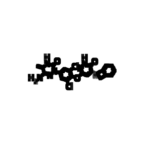 C=C1NC(=O)N(c2cc(Cl)c(Oc3cc([C@H]4Cc5ccccc54)c(=O)[nH]n3)c(Cl)c2)N=C1N